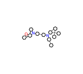 c1ccc(-c2ccc(N(c3ccc(-c4ccc(-n5c6ccccc6c6c7oc8ccccc8c7ccc65)cc4)cc3)c3ccc4c(c3)C(c3ccccc3)(c3ccccc3)c3ccccc3-4)cc2)cc1